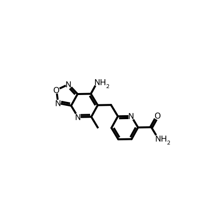 Cc1nc2nonc2c(N)c1Cc1cccc(C(N)=O)n1